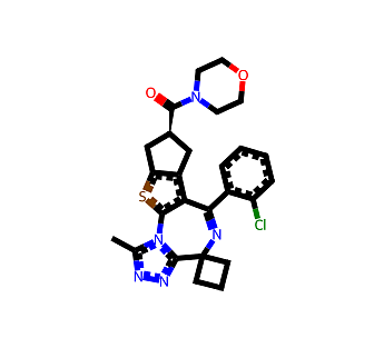 Cc1nnc2n1-c1sc3c(c1C(c1ccccc1Cl)=NC21CCC1)C[C@H](C(=O)N1CCOCC1)C3